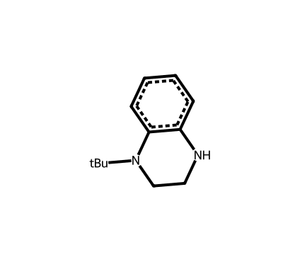 CC(C)(C)N1CCNc2ccccc21